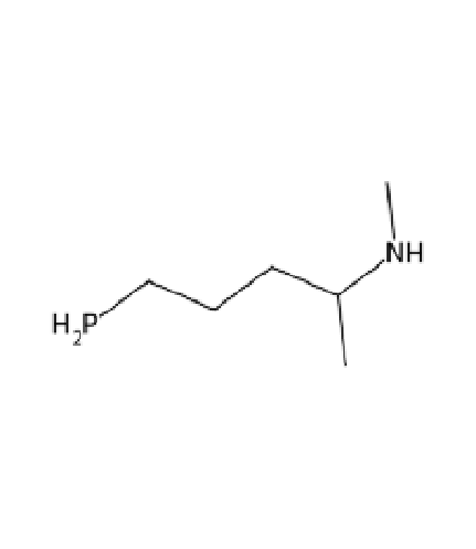 CNC(C)CCCP